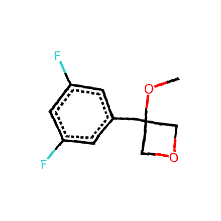 COC1(c2cc(F)cc(F)c2)COC1